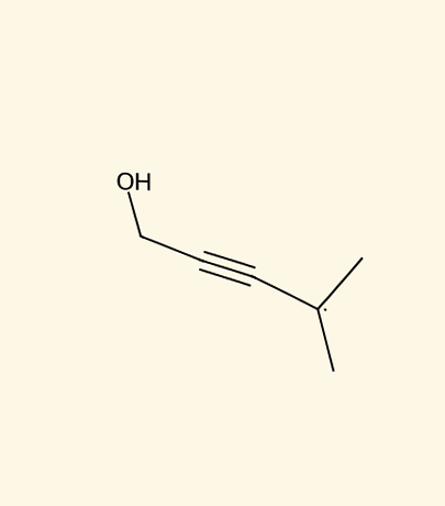 C[C](C)C#CCO